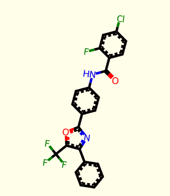 O=C(Nc1ccc(-c2nc(-c3ccccc3)c(C(F)(F)F)o2)cc1)c1ccc(Cl)cc1F